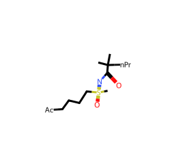 CCCC(C)(C)C(=O)N=S(C)(=O)CCCCC(C)=O